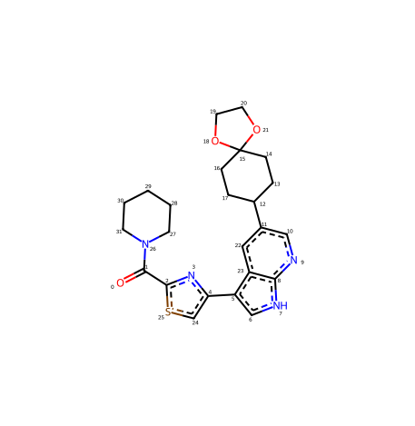 O=C(c1nc(-c2c[nH]c3ncc(C4CCC5(CC4)OCCO5)cc23)cs1)N1CCCCC1